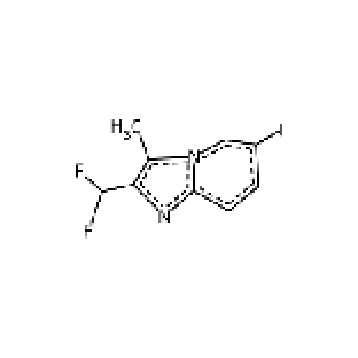 Cc1c(C(F)F)nc2ccc(I)cn12